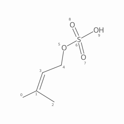 CC(C)=CCOS(=O)(=O)O